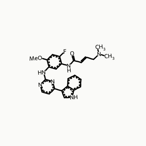 COc1cc(F)c(NC(=O)C=CCN(C)C)cc1Nc1nccc(-c2c[nH]c3ccccc23)n1